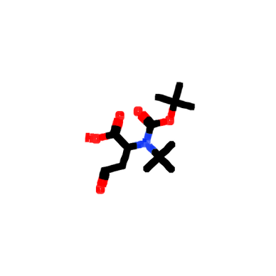 CC(C)(C)OC(=O)N(C(CC=O)C(=O)O)C(C)(C)C